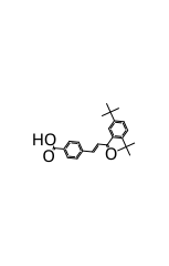 CC(C)(C)c1ccc(C(C)(C)C)c(C(=O)C=Cc2ccc(C(=O)O)cc2)c1